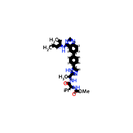 C=C/C=C(\C=C)Nc1ncnc2ccc(-c3ccc(-c4cnc([C@H](C)NC(=O)[C@@H](NC(=O)OC)C(C)C)[nH]4)cc3)cc12